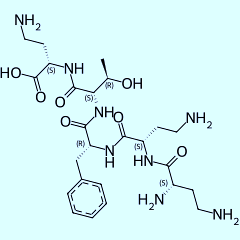 C[C@@H](O)[C@H](NC(=O)[C@@H](Cc1ccccc1)NC(=O)[C@H](CCN)NC(=O)[C@@H](N)CCN)C(=O)N[C@@H](CCN)C(=O)O